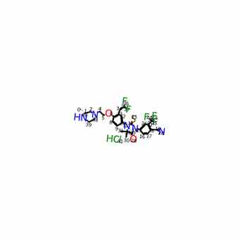 C[C@@H]1CN(CCOc2ccc(N3C(=S)N(c4ccc(C#N)c(C(F)(F)F)c4)C(=O)C3(C)C)cc2CC(F)F)CCN1.Cl